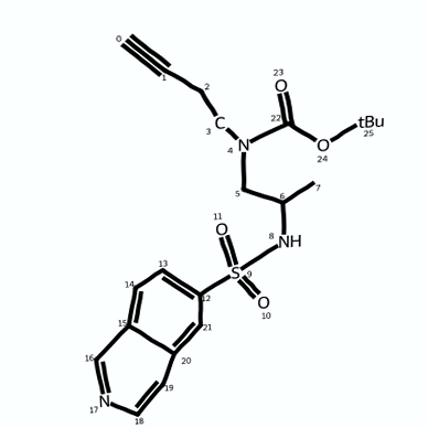 C#CCCN(CC(C)NS(=O)(=O)c1ccc2cnccc2c1)C(=O)OC(C)(C)C